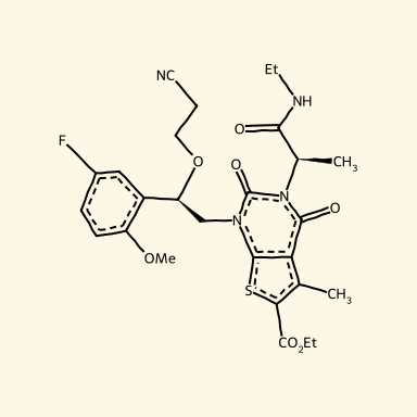 CCNC(=O)[C@@H](C)n1c(=O)c2c(C)c(C(=O)OCC)sc2n(C[C@H](OCCC#N)c2cc(F)ccc2OC)c1=O